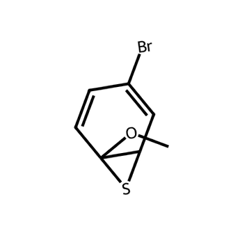 COC12C=CC(Br)=CC1S2